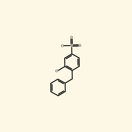 O=S(=O)(Cl)c1ccc(Cc2ccccc2)c(Cl)c1